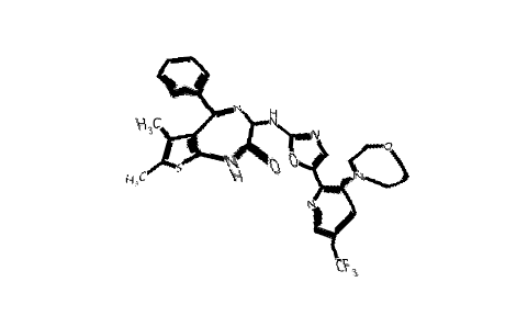 Cc1sc2c(c1C)C(c1ccccc1)=NC(Nc1ncc(-c3ncc(C(F)(F)F)cc3N3CCOCC3)o1)C(=O)N2